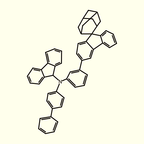 c1ccc(-c2ccc(N(c3cccc(-c4ccc5c(c4)-c4ccccc4C54C5CC6CC(C5)CC4C6)c3)C3c4ccccc4-c4ccccc43)cc2)cc1